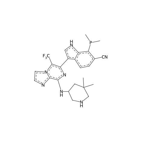 CP(C)c1c(C#N)ccc2c(-c3nc(NC4CNCC(C)(C)C4)c4nccn4c3C(F)(F)F)c[nH]c12